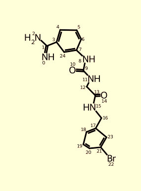 N=C(N)c1cccc(NC(=O)NCC(=O)NCc2cccc(Br)c2)c1